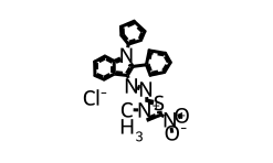 C[n+]1cc([N+](=O)[O-])sc1N=Nc1c(-c2ccccc2)n(-c2ccccc2)c2ccccc12.[Cl-]